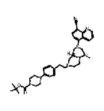 C[C@@H]1CN(c2ccc(C#N)c3ncccc23)C[C@@H]2CN(CCc3ccc(N4CCN(C(=O)OC(C)(C)C)CC4)cc3)CCN21